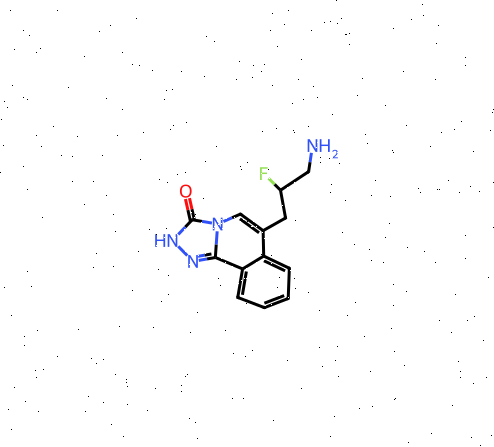 NCC(F)Cc1cn2c(=O)[nH]nc2c2ccccc12